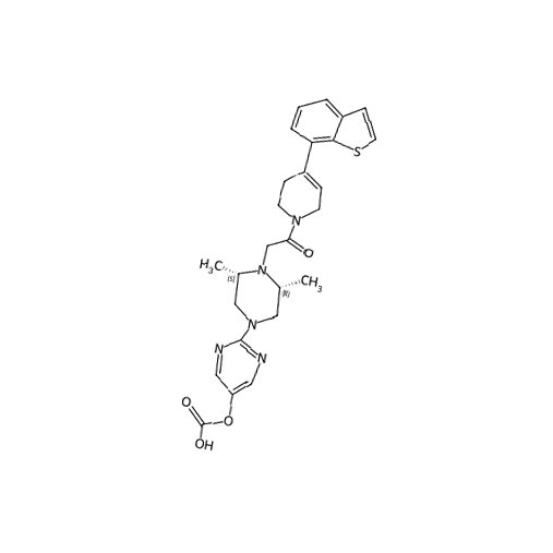 C[C@@H]1CN(c2ncc(OC(=O)O)cn2)C[C@H](C)N1CC(=O)N1CC=C(c2cccc3ccsc23)CC1